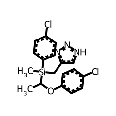 CC(Oc1ccc(Cl)cc1)[Si](C)(Cc1c[nH]nn1)c1ccc(Cl)cc1